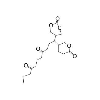 CCCC(=O)CCCC(=O)CCC(C1CCC(=O)OC1)C1CCC(=O)OC1